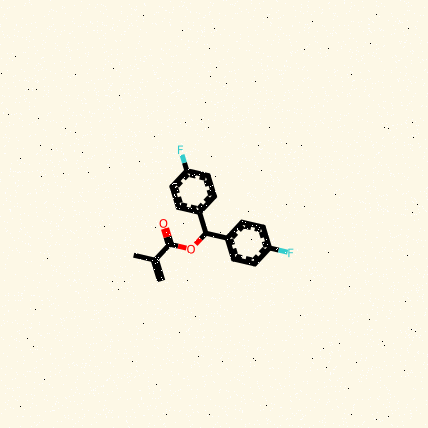 C=C(C)C(=O)OC(c1ccc(F)cc1)c1ccc(F)cc1